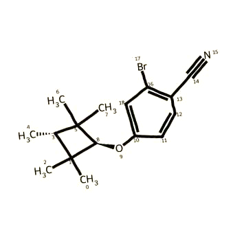 CC1(C)[C@H](C)C(C)(C)[C@H]1Oc1ccc(C#N)c(Br)c1